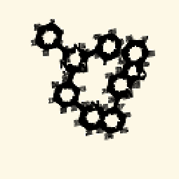 c1ccc(-c2nc(-c3ccccc3)nc(-c3cccc(-c4ccc5cccc(-c6ccc7c(n6)oc6ccccc67)c5n4)c3)n2)cc1